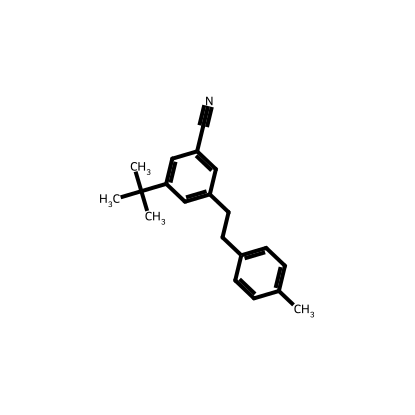 Cc1ccc(CCc2cc(C#N)cc(C(C)(C)C)c2)cc1